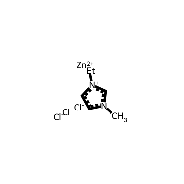 CC[n+]1ccn(C)c1.[Cl-].[Cl-].[Cl-].[Zn+2]